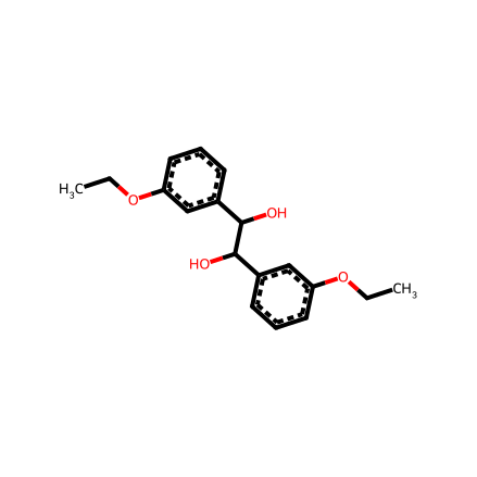 CCOc1cccc(C(O)C(O)c2cccc(OCC)c2)c1